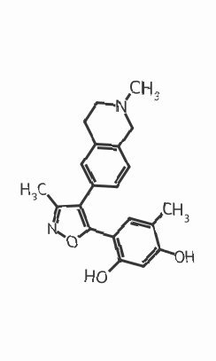 Cc1cc(-c2onc(C)c2-c2ccc3c(c2)CCN(C)C3)c(O)cc1O